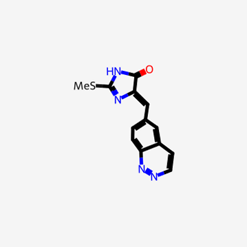 CSC1=N/C(=C\c2ccc3nnccc3c2)C(=O)N1